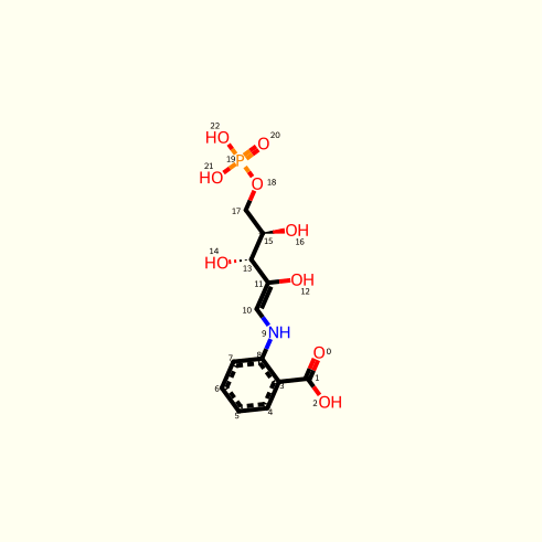 O=C(O)c1ccccc1N/C=C(\O)[C@H](O)[C@H](O)COP(=O)(O)O